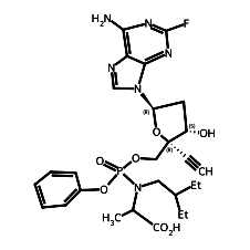 C#C[C@]1(COP(=O)(Oc2ccccc2)N(CC(CC)CC)C(C)C(=O)O)O[C@@H](n2cnc3c(N)nc(F)nc32)C[C@@H]1O